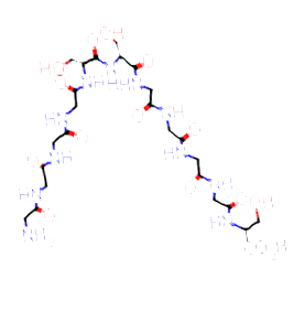 NCC(=O)NCC(=O)NCC(=O)NCC(=O)N[C@@H](CO)C(=O)N[C@@H](CO)C(=O)NCC(=O)NCC(=O)NCC(=O)NCC(=O)N[C@@H](CO)C(=O)O